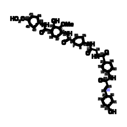 COc1c(NC(=O)c2ccc(NC(=O)CNC(=O)c3ccc(NC(=O)/C=C/c4ccc(O)cc4)cc3)cc2)ccc(C(=O)Nc2ccc(C(=O)O)cc2)c1O